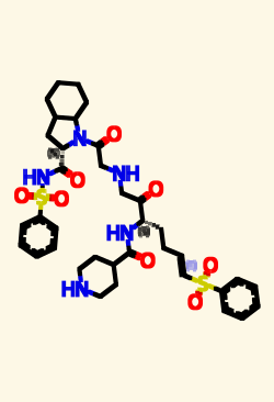 O=C(N[C@@H](CC/C=C/S(=O)(=O)c1ccccc1)C(=O)CNCC(=O)N1C2CCCCC2C[C@H]1C(=O)NS(=O)(=O)c1ccccc1)C1CCNCC1